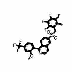 COc1cc(C(F)(F)F)ccc1-c1nccc2cc(S(=O)(=O)Cc3c(F)c(F)c(F)c(F)c3F)ccc12